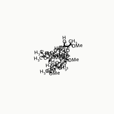 CO[C@@H](C)[C@H](O[Si](O)(O[Si](C)(C)O[Si](C)(C)O[Si](C)(C)O[Si](C)(C)C)O[Si](OC)(OC)O[Si](C)(C)O[Si](C)(C)O[Si](C)(C)OC)[C@@H](C)O